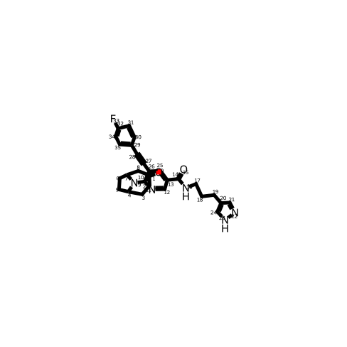 O=C1CCC2CCC(C1)N2c1ncc(C(=O)NCCCc2cn[nH]c2)cc1C#Cc1ccc(F)cc1